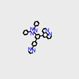 c1ccc(-c2nc(-c3ccccc3)nc(-c3cc(-c4ccc(-c5ncccn5)cc4)cc(-c4cc5cccnc5c5ncccc45)c3)n2)cc1